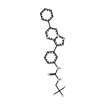 O=C(NCC(F)(F)F)Nc1cccc(-c2cnn3cc(-c4ccccc4)cnc23)c1